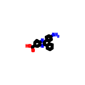 Nc1ccc(-c2nc3ccc(C(=O)O)cc3nc2-c2ccccc2)cc1